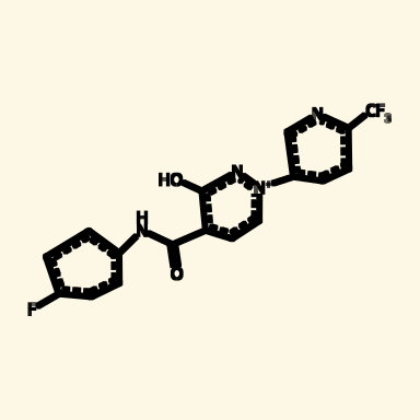 O=C(Nc1ccc(F)cc1)c1cc[n+](-c2ccc(C(F)(F)F)nc2)nc1O